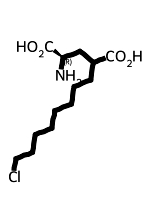 N[C@H](CC(CCCCCCCCCl)C(=O)O)C(=O)O